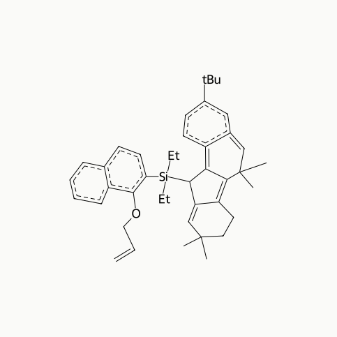 C=CCOc1c([Si](CC)(CC)C2C3=CC(C)(C)CCC3=C3C2=c2ccc(C(C)(C)C)cc2=CC3(C)C)ccc2ccccc12